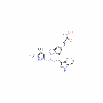 Cc1cc(CN(CCc2c[nH]c3ccccc23)C2CCc3cc(/C=C/C(=O)NO)ccc32)[nH]c1C